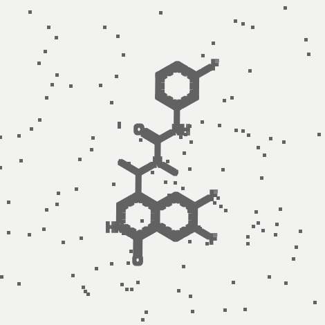 CC(c1c[nH]c(=O)c2cc(F)c(F)cc12)N(C)C(=O)Nc1cccc(F)c1